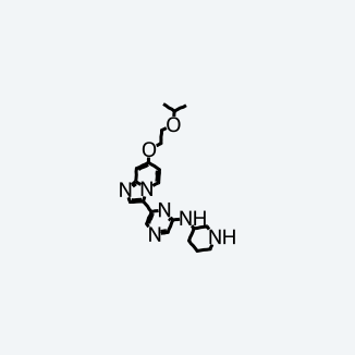 CC(C)OCCOc1ccn2c(-c3cncc(NC4CCCNC4)n3)cnc2c1